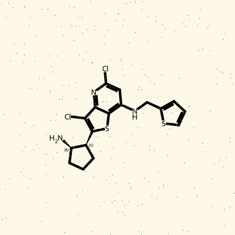 N[C@@H]1CCC[C@@H]1c1sc2c(NCc3cccs3)cc(Cl)nc2c1Cl